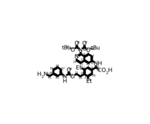 CCc1cc(C(Nc2ccc3c(N(C(=O)OC(C)(C)C)C(=O)OC(C)(C)C)nccc3c2)C(=O)O)cc(CC)c1CCOC(=O)Nc1cccc(CN)c1